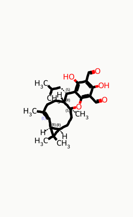 C/C1=C\[C@H]2[C@@H](CC[C@]3(C)Oc4c(C=O)c(O)c(C=O)c(O)c4[C@@H](CC(C)C)[C@H]3CC1)C2(C)C